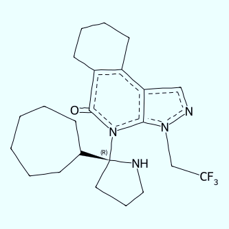 O=c1c2c(c3cnn(CC(F)(F)F)c3n1[C@@]1(C3CCCCCC3)CCCN1)CCCC2